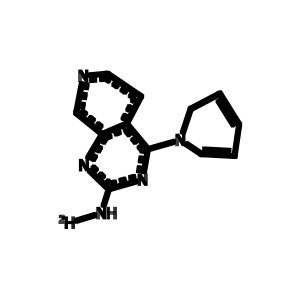 [2H]Nc1nc(N2C=CC=CC2)c2ccncc2n1